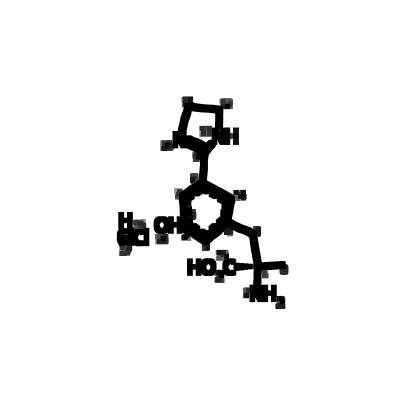 C[C@@](N)(Cc1cccc(C2=NCCN2)c1)C(=O)O.Cl.Cl.O